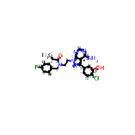 C=CC(=O)N(CCn1nc(-c2ccc(Cl)c(O)c2)c2c(N)ncnc21)Cc1ccc(F)cc1